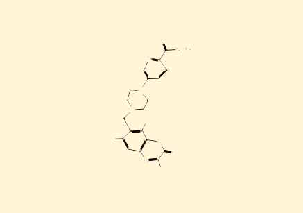 CNC(=O)c1ccc(N2CCN(Cc3c(F)cc4nc(C)c(=O)[nH]c4c3F)CC2)cn1